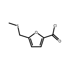 CSCc1ccc(C(=O)Cl)o1